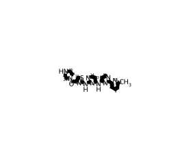 Cc1cccc(-c2nccc(Nc3ccnc(Nc4nc(C(=O)N5CCNCC5)cs4)n3)n2)n1